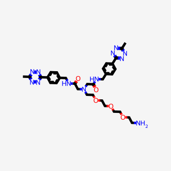 Cc1nnc(-c2ccc(CNC(=O)CN(CCOCCOCCOCCN)CC(=O)NCc3ccc(-c4nnc(C)nn4)cc3)cc2)nn1